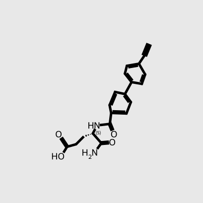 C#Cc1ccc(-c2ccc(C(=O)N[C@@H](CCC(=O)O)C(N)=O)cc2)cc1